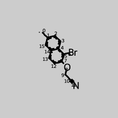 [CH2]c1ccc2c(Br)c(OCC#N)ccc2c1